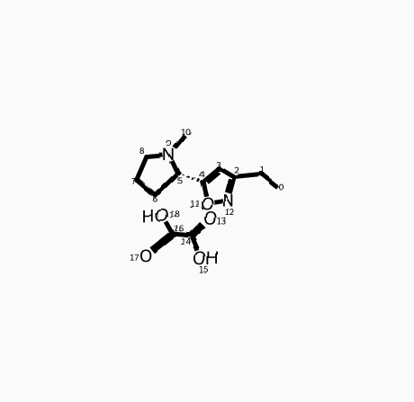 CCc1cc([C@@H]2CCCN2C)on1.O=C(O)C(=O)O